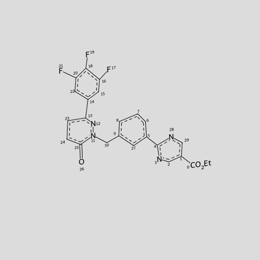 CCOC(=O)c1cnc(-c2cccc(Cn3nc(-c4cc(F)c(F)c(F)c4)ccc3=O)c2)nc1